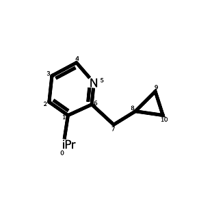 CC(C)c1cccnc1CC1CC1